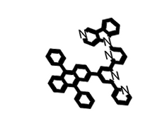 c1ccc(-c2c3ccccc3c(-c3ccccc3)c3cc(-c4cc(-c5ccccn5)nc(-c5cccc(-n6c7ccccc7c7cnccc76)n5)c4)ccc23)cc1